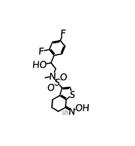 CN(CC(O)c1ccc(F)cc1F)S(=O)(=O)c1csc2c1CCC/C2=N/O